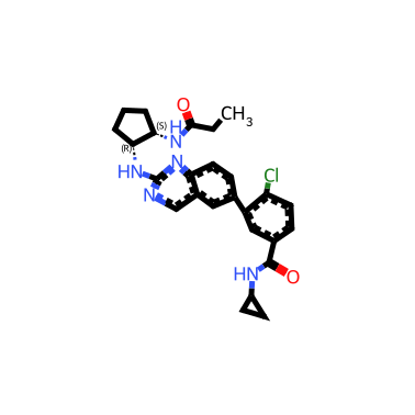 CCC(=O)N[C@H]1CCC[C@H]1Nc1ncc2cc(-c3cc(C(=O)NC4CC4)ccc3Cl)ccc2n1